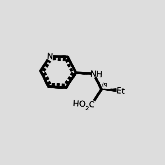 CC[C@H](Nc1cccnc1)C(=O)O